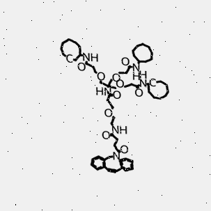 O=C(CCC(=O)N1Cc2ccccc2C#Cc2ccccc21)NCCOCCC(=O)NC(COCCC(=O)NC1CCCCCCCC1)(COCCC(=O)NC1CCCCCCCC1)COCCC(=O)NC1CCCCCCCC1